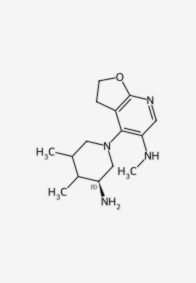 CNc1cnc2c(c1N1CC(C)C(C)[C@H](N)C1)CCO2